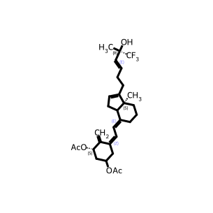 C=C1/C(=C\C=C2/CCC[C@]3(C)C(CC/C=C/[C@@](C)(O)C(F)(F)F)=CCC23)CC(OC(C)=O)C[C@@H]1OC(C)=O